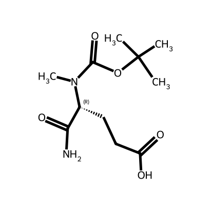 CN(C(=O)OC(C)(C)C)[C@H](CCC(=O)O)C(N)=O